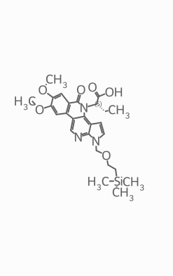 CC[C@@H](C(=O)O)n1c(=O)c2cc(OC)c(OC)cc2c2cnc3c(ccn3COCC[Si](C)(C)C)c21